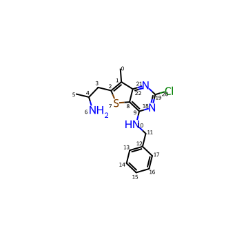 Cc1c(CC(C)N)sc2c(NCc3ccccc3)nc(Cl)nc12